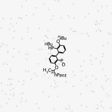 CCCCC[C@@H](C)Oc1cccc(-c2cccc(O[C@H](C)CC)c2PCCCC)c1P=O